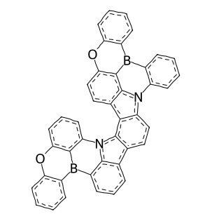 c1ccc2c(c1)Oc1ccc3c4c(ccc5c6cccc7c6n(c54)-c4cccc5c4B7c4ccccc4O5)n4c3c1B2c1ccccc1-4